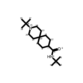 CC(C)(C)NC(=O)C1CCC2(CC1)CCN(C(C)(C)C)CC2